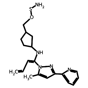 C=C/C=C(/NC1CCC(COSN)C1)n1nc(-c2ccccn2)cc1C